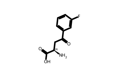 N[C@H](CC(=O)c1cccc(F)c1)C(=O)O